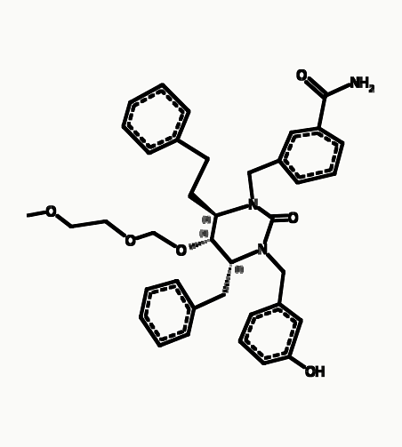 COCCOCO[C@@H]1[C@@H](CCc2ccccc2)N(Cc2cccc(C(N)=O)c2)C(=O)N(Cc2cccc(O)c2)[C@@H]1Cc1ccccc1